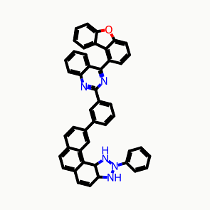 C1=CC2NN(c3ccccc3)NC2c2c1ccc1ccc(-c3cccc(-c4nc(-c5cccc6oc7ccccc7c56)c5ccccc5n4)c3)cc21